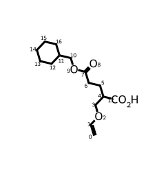 C=COCC(CCC(=O)OCC1CCCCC1)C(=O)O